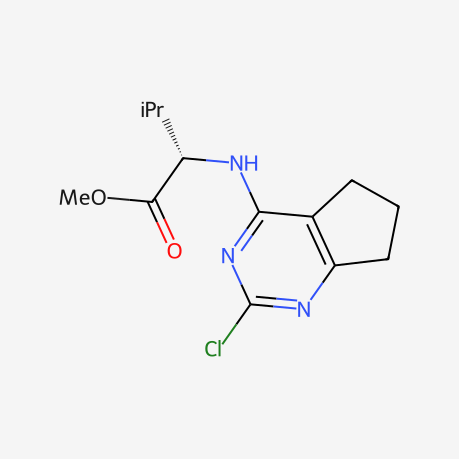 COC(=O)[C@@H](Nc1nc(Cl)nc2c1CCC2)C(C)C